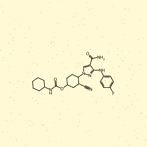 N#CC1CC(OC(=O)NC2CCCCC2)CCC1n1cc(C(N)=O)c(Nc2ccc(F)cc2)n1